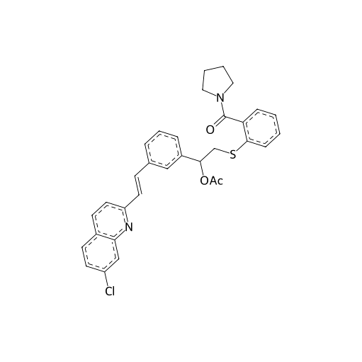 CC(=O)OC(CSc1ccccc1C(=O)N1CCCC1)c1cccc(/C=C/c2ccc3ccc(Cl)cc3n2)c1